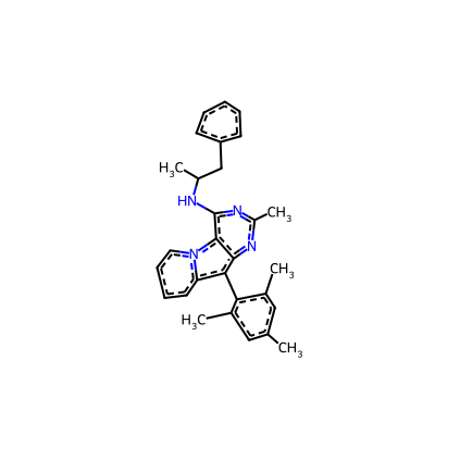 Cc1cc(C)c(-c2c3nc(C)nc(NC(C)Cc4ccccc4)c3n3ccccc23)c(C)c1